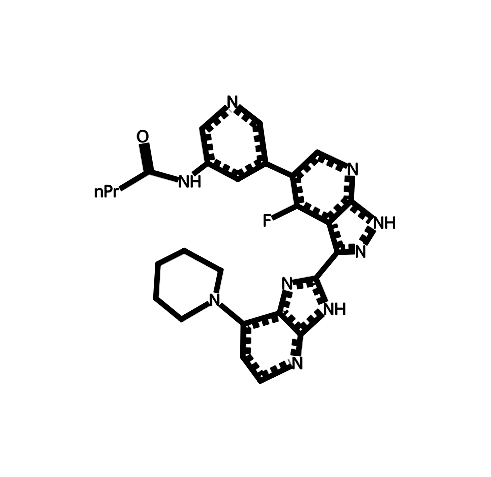 CCCC(=O)Nc1cncc(-c2cnc3[nH]nc(-c4nc5c(N6CCCCC6)ccnc5[nH]4)c3c2F)c1